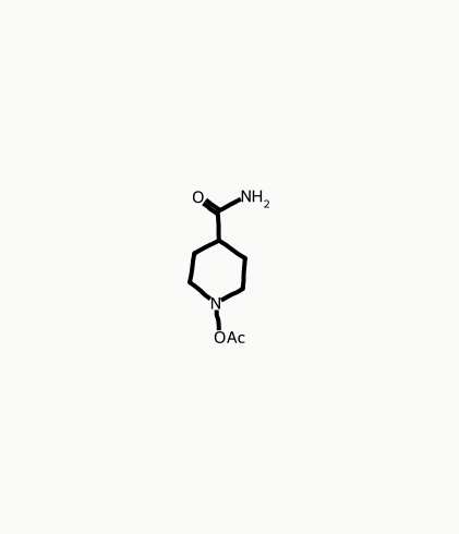 CC(=O)ON1CCC(C(N)=O)CC1